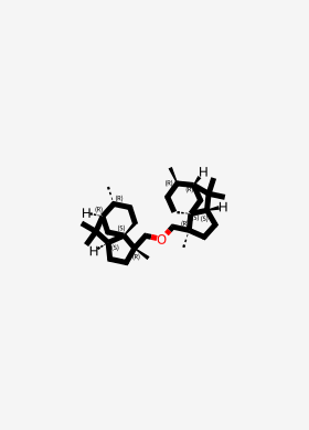 C[C@@H]1CC[C@]23C[C@H]1C(C)(C)[C@@H]2CC[C@@]3(C)COC[C@]1(C)CC[C@H]2C(C)(C)[C@@H]3C[C@@]21CC[C@H]3C